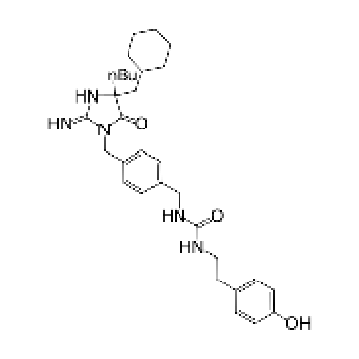 CCCCC1(CC2CCCCC2)NC(=N)N(Cc2ccc(CNC(=O)NCCc3ccc(O)cc3)cc2)C1=O